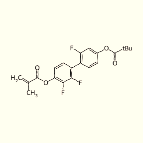 C=C(C)C(=O)Oc1ccc(-c2ccc(OC(=O)C(C)(C)C)cc2F)c(F)c1F